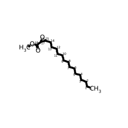 CCCCCCCCCCCCCCCC1OC1C(=O)OC